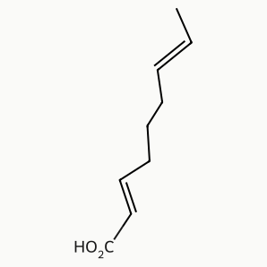 C/C=C/CCCC=CC(=O)O